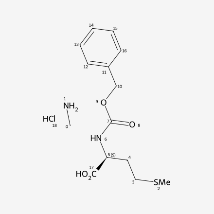 CN.CSCC[C@H](NC(=O)OCc1ccccc1)C(=O)O.Cl